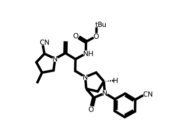 C=C(C(CN1C[C@@H]2CC1C(=O)N2c1cccc(C#N)c1)NC(=O)OC(C)(C)C)N1CC(C)CC1C#N